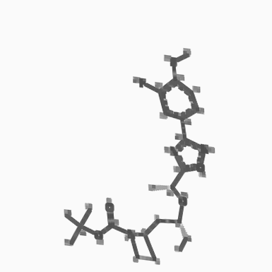 CC[C@H](CC1CCN1C(=O)OC(C)(C)C)O[C@H](C)c1nc(-c2ccc(SC)c(F)c2)no1